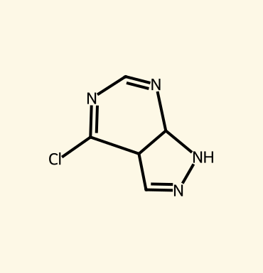 ClC1=NC=NC2NN=CC12